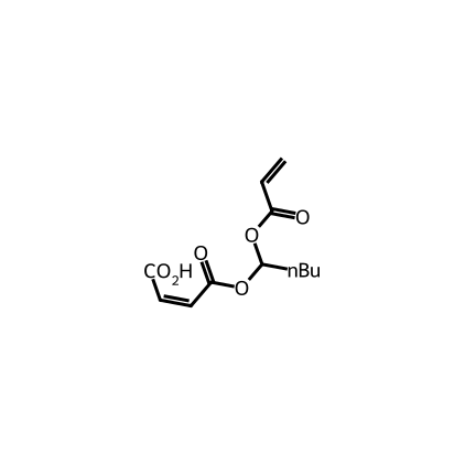 C=CC(=O)OC(CCCC)OC(=O)/C=C\C(=O)O